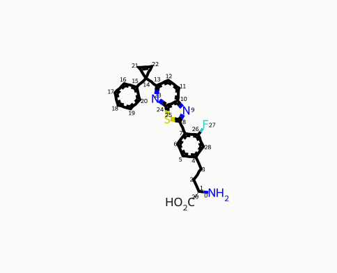 N[C@@H](CCc1ccc(-c2nc3ccc(C4(c5ccccc5)C=C4)nc3s2)c(F)c1)C(=O)O